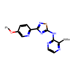 CNc1nccnc1Nc1nc(-c2ccc(OC(C)C)cn2)ns1